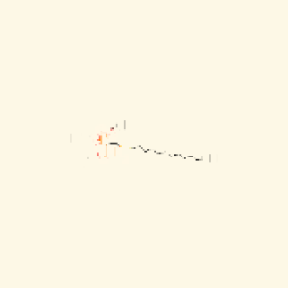 CCCCCCCCCCCCSC=CC(OCC)([PH2]=O)P(=O)(OCC)OCC